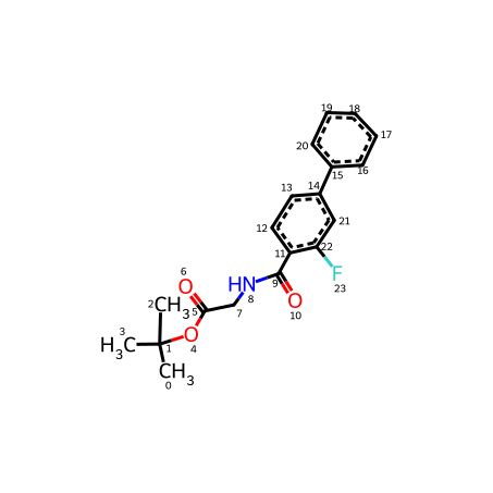 CC(C)(C)OC(=O)CNC(=O)c1ccc(-c2ccccc2)cc1F